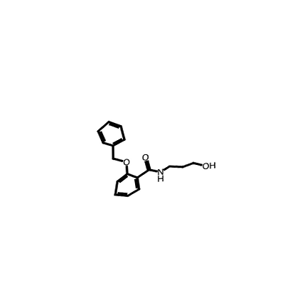 O=C(NCCCO)c1ccccc1OCc1ccccc1